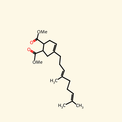 COC(=O)C1CC=C(CC/C=C(\C)CCC=C(C)C)CC1C(=O)OC